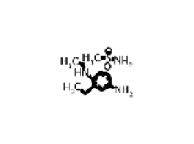 CCNc1ccc(N)cc1CC.CS(N)(=O)=O